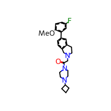 COc1ccc(F)cc1-c1ccc2c(c1)CCN(CC(=O)N1CCN(C3CCC3)CC1)C2